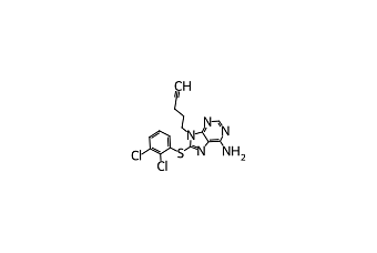 C#CCCCn1c(Sc2cccc(Cl)c2Cl)nc2c(N)ncnc21